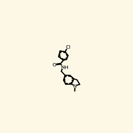 CN1CCc2cc(CNC(=O)c3ccc(Cl)cc3)ccc21